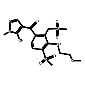 COCCNc1c(S(C)(=O)=O)ccc(C(=O)c2cnn(C)c2O)c1CS(C)(=O)=O